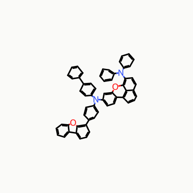 c1ccc(-c2ccc(N(c3ccc(-c4cccc5c4oc4ccccc45)cc3)c3ccc4c(c3)Oc3c(N(c5ccccc5)c5ccccc5)ccc5cccc-4c35)cc2)cc1